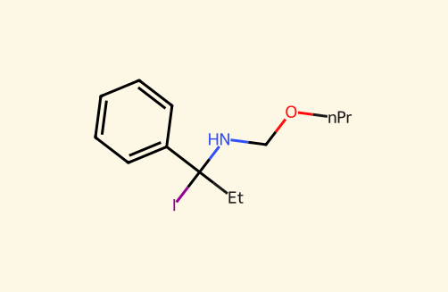 CCCOCNC(I)(CC)c1ccccc1